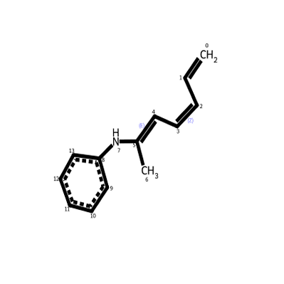 C=C/C=C\C=C(/C)Nc1ccccc1